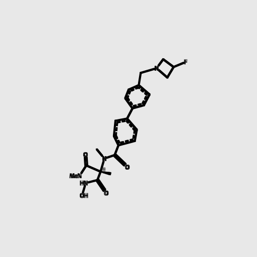 CNC(=O)[C@@](C)(C(=O)NO)N(C)C(=O)c1ccc(-c2ccc(CN3CC(F)C3)cc2)cc1